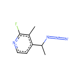 Cc1c(C(C)N=[N+]=[N-])ccnc1F